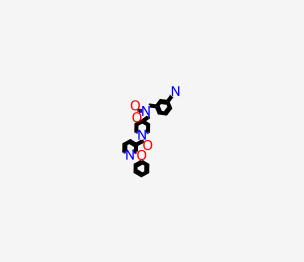 N#Cc1cccc(CN2CC3(CCN(C(=O)c4cccnc4Oc4ccccc4)CC3)OC2=O)c1